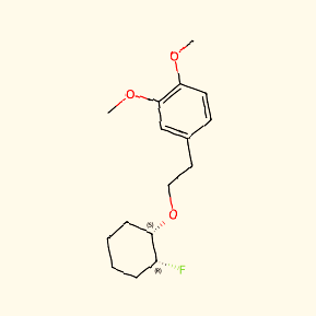 COc1ccc(CCO[C@H]2CCCC[C@H]2F)cc1OC